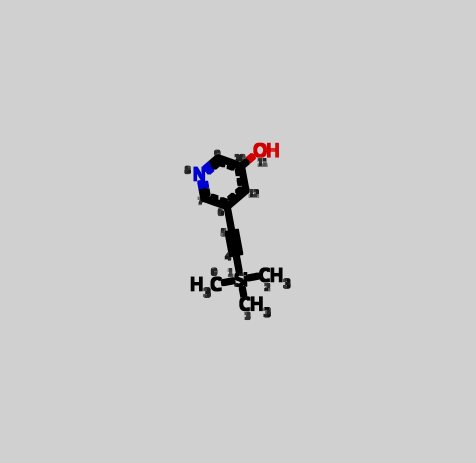 C[Si](C)(C)C#Cc1cncc(O)c1